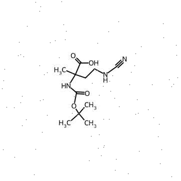 CC(C)(C)OC(=O)NC(C)(CCNC#N)C(=O)O